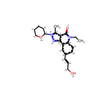 CCn1c(=O)c2c(C)n(C3CCCCO3)nc2c2cc(/C=C/CO)ccc21